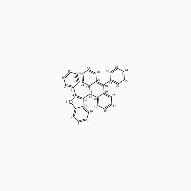 c1ccc(-c2oc3ccccc3c2-c2c3ccccc3c(-c3ccccc3)c3ccccc23)cc1